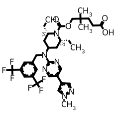 CC[C@@H]1CC(N(Cc2cc(C(F)(F)F)cc(C(F)(F)F)c2)c2ncc(-c3cnn(C)c3)cn2)C[C@H](CC)N1C(=O)OCC(C)(C)CCC(=O)O